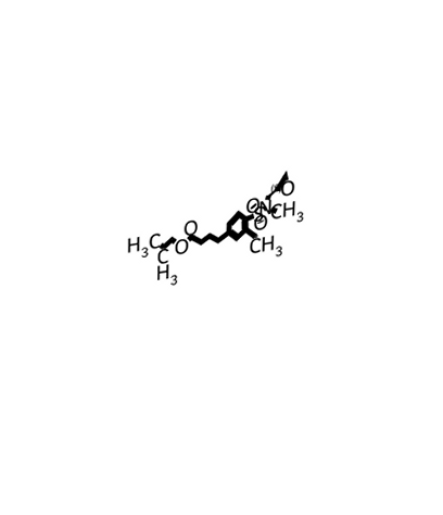 CCc1cc(CCCC(=O)OCC(C)C)ccc1S(=O)(=O)N(C)C[C@H]1CO1